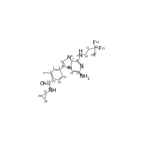 Cc1cc(-c2cnc3c(NCCC(F)(F)F)nc(N)cn23)ccc1C(=O)NC1CC1